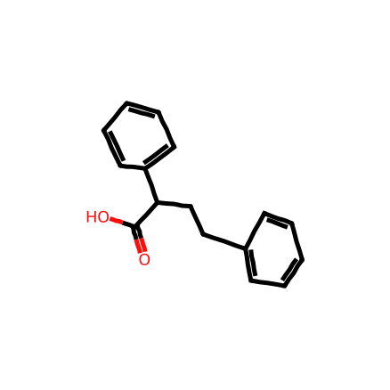 O=C(O)C(CCc1ccccc1)c1ccccc1